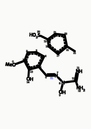 COc1cccc(/C=N/N(O)C(=N)N)c1O.Cc1ccc(S(=O)(=O)O)cc1